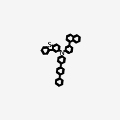 c1ccc(-c2ccc(-c3ccc(N(c4cccc(-c5cccc6ccccc56)c4)c4ccc5sc6ccccc6c5c4)cc3)cc2)cc1